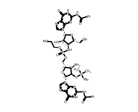 CC(C)C(=O)Nc1nc2c(ncn2[C@@H]2O[C@H](COP(=O)(N[C@H]3[C@@H](O)[C@H](n4cnc5c(=O)[nH]c(NC(=O)C(C)C)nc54)O[C@@H]3CO)OCCC#N)[C@@H](N)C2O[Si](C)(C)C(C)(C)C)c(=O)[nH]1